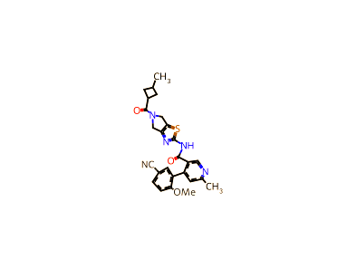 COc1ccc(C#N)cc1-c1cc(C)ncc1C(=O)Nc1nc2c(s1)CN(C(=O)C1CC(C)C1)C2